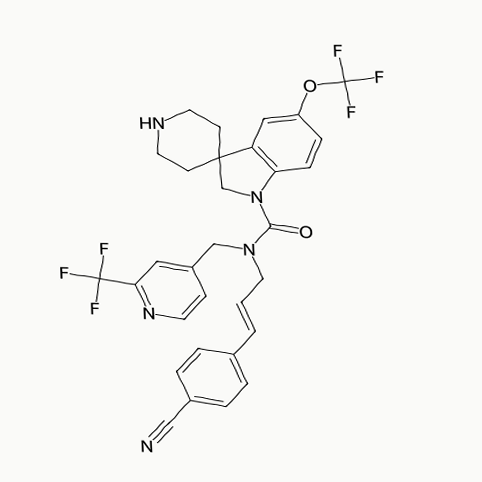 N#Cc1ccc(C=CCN(Cc2ccnc(C(F)(F)F)c2)C(=O)N2CC3(CCNCC3)c3cc(OC(F)(F)F)ccc32)cc1